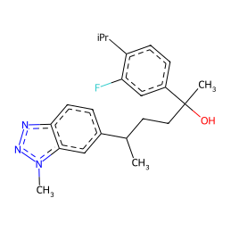 CC(C)c1ccc(C(C)(O)CCC(C)c2ccc3nnn(C)c3c2)cc1F